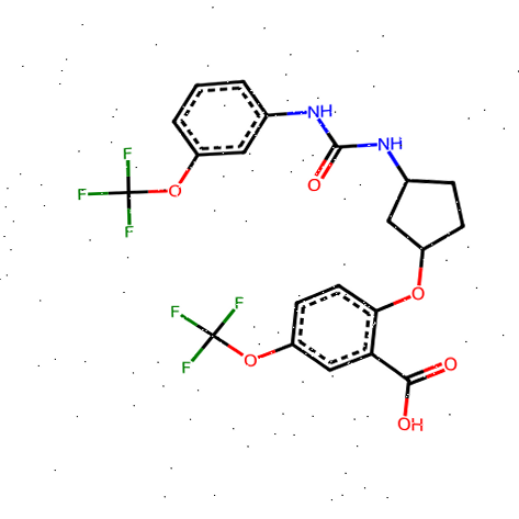 O=C(Nc1cccc(OC(F)(F)F)c1)NC1CCC(Oc2ccc(OC(F)(F)F)cc2C(=O)O)C1